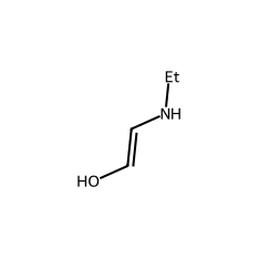 CCNC=CO